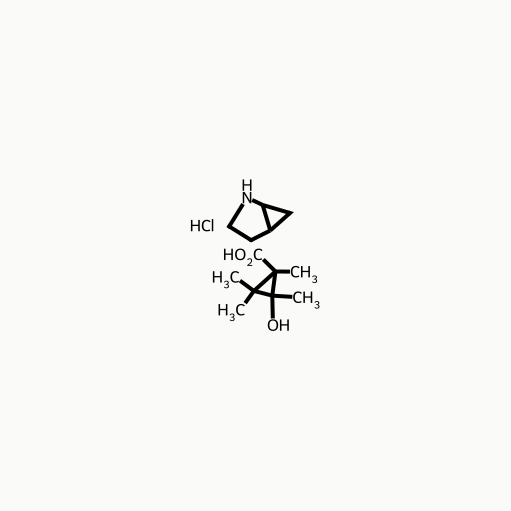 C1CC2CC2N1.CC1(C)C(C)(O)C1(C)C(=O)O.Cl